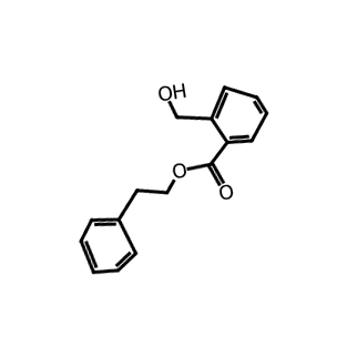 O=C(OCCc1ccccc1)c1ccccc1CO